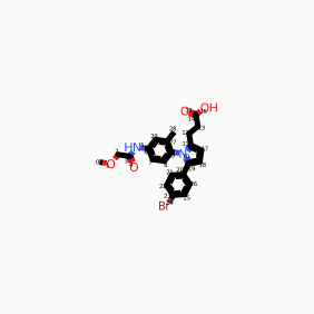 COCC(=O)Nc1ccc(-n2c(CCC(=O)O)ccc2-c2ccc(Br)cc2)c(C)c1